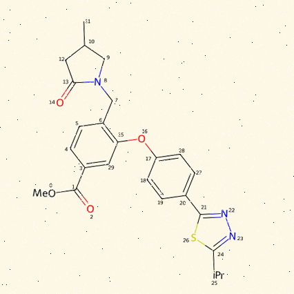 COC(=O)c1ccc(CN2CC(C)CC2=O)c(Oc2ccc(-c3nnc(C(C)C)s3)cc2)c1